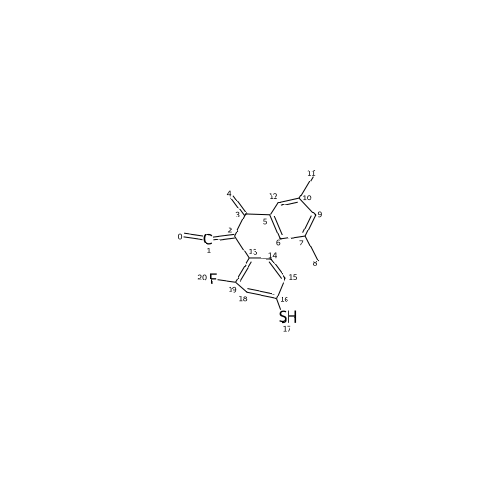 C=C=C(C(=C)c1cc(C)cc(C)c1)c1ccc(S)cc1F